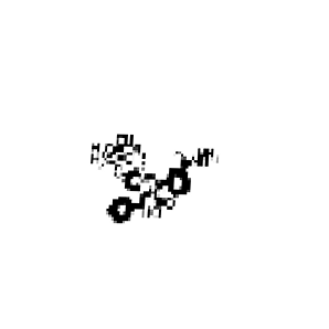 CC(C)(C)[Si](C)(C)O[C@H]1CCN(C[C@H](c2cccc(C(=O)NN)c2)N(CCc2ccccc2)C(=O)O)C1